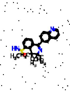 CC1(C)N=C(c2ccc3ncccc3c2)c2cccc(S(C)(=N)=O)c2C1(C)C